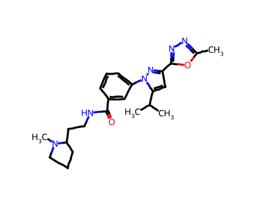 Cc1nnc(-c2cc(C(C)C)n(-c3cccc(C(=O)NCCC4CCCN4C)c3)n2)o1